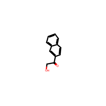 O=C(CO)c1ccc2ccccc2c1